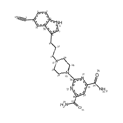 N#Cc1ccc2[nH]cc(CCCN3CCN(c4nc(C(N)=O)cc(C(N)=O)n4)CC3)c2c1